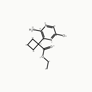 CCOC(=O)C1(c2nc(Cl)cnc2N)CCC1